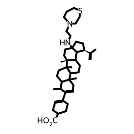 C=C(C)[C@@H]1CCC2(NCCN3CCCSCC3)CC[C@]3(C)C(CCC4C5(C)CC=C(C6=CCC(C(=O)O)CC6)C(C)C5CCC43C)C12